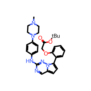 CN1CCN(c2ccc(Nc3ncc4ccc(-c5ccccc5OCC(=O)OC(C)(C)C)n4n3)cc2)CC1